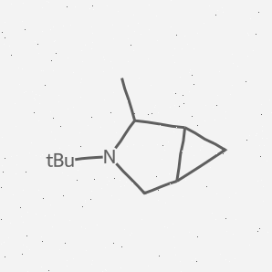 CC1C2CC2CN1C(C)(C)C